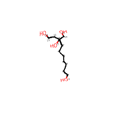 OCCCCCCCC(O)(CO)CCO